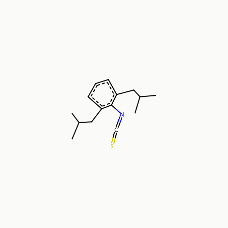 CC(C)Cc1cccc(CC(C)C)c1N=C=S